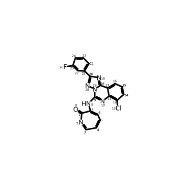 O=c1nccccc1Nc1nc2c(Cl)cccc2c2nc(-c3cccc(F)c3)nn12